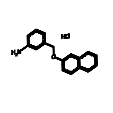 Cl.Nc1cccc(COc2ccc3ccccc3c2)c1